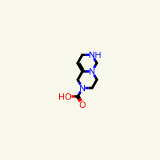 O=C(O)N1CCN2CNCC=C2C1